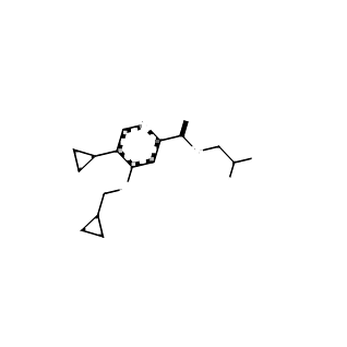 CC(C)(C)C(O)CNC(=O)c1cc(OCC2CC2)c(C2CC2)cn1